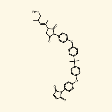 CCCC(C)CC(C)/C=C(\C)C1CC(=O)N(c2ccc(Oc3ccc(C(C)(C)c4ccc(Oc5ccc(N6C(=O)C=CC6=O)cc5)cc4)cc3)cc2)C1=O